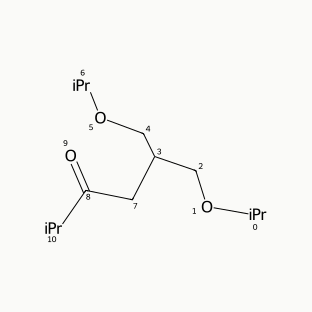 CC(C)OCC(COC(C)C)CC(=O)C(C)C